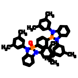 Cc1cc(C)cc(N2c3ccccc3N(c3cc(C)cc(C)c3)P2c2ccc(P3(=O)N(c4cc(C)cc(C)c4)c4ccccc4N3c3cc(C)cc(C)c3)cc2)c1